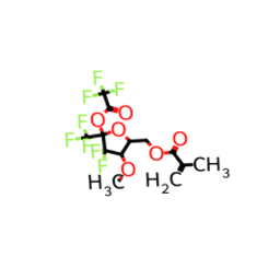 C=C(C)C(=O)OCC1OC(OC(=O)C(F)(F)F)(C(F)(F)F)C(F)(F)C1OC